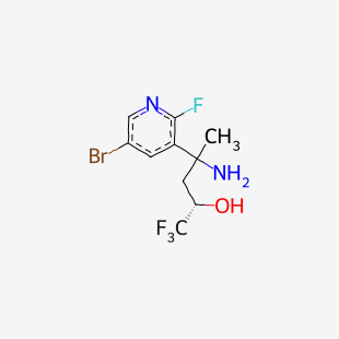 CC(N)(C[C@H](O)C(F)(F)F)c1cc(Br)cnc1F